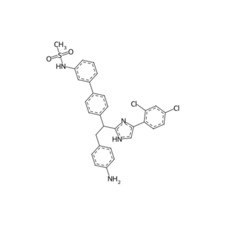 CS(=O)(=O)Nc1cccc(-c2ccc(C(Cc3ccc(N)cc3)c3nc(-c4ccc(Cl)cc4Cl)c[nH]3)cc2)c1